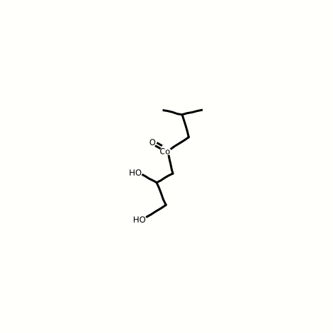 CC(C)[CH2][Co](=[O])[CH2]C(O)CO